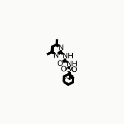 Cc1cc(C)nc(NC(=O)NS(=O)(=O)C2CC3CCC2CC3)n1